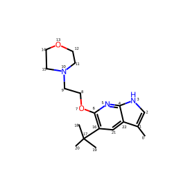 Cc1c[nH]c2nc(OCCN3CCOCC3)c(C(C)(C)C)cc12